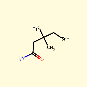 CC(C)([CH2][SnH])CC(N)=O